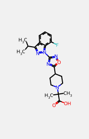 CC(C)c1nn(-c2noc(C3CCN(C(C)(C)C(=O)O)CC3)n2)c2c(F)cccc12